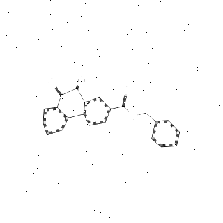 O=C(OCc1ccccc1)c1ccc2c(c1)C(=O)C(=O)c1ccccc1-2